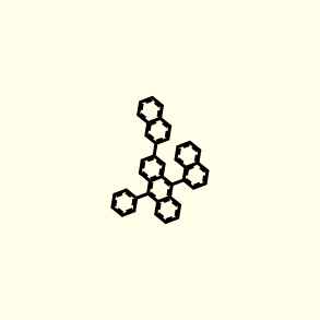 c1ccc(-c2c3ccccc3c(-c3cccc4ccccc34)c3cc(-c4ccc5ccccc5c4)ccc23)cc1